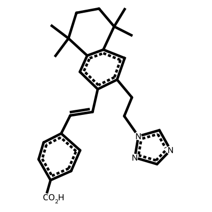 CC1(C)CCC(C)(C)c2cc(CCn3cncn3)c(C=Cc3ccc(C(=O)O)cc3)cc21